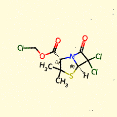 CC1(C)S[C@H]2N(C(=O)C2(Cl)Cl)[C@H]1C(=O)OCCl